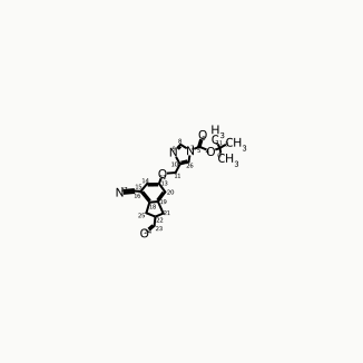 CC(C)(C)OC(=O)n1cnc(COc2cc(C#N)c3c(c2)CC(C=O)C3)c1